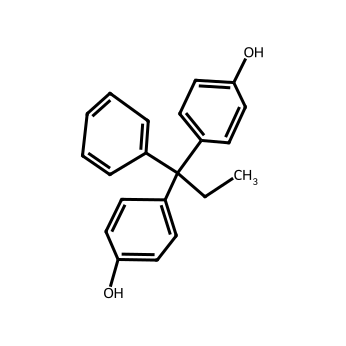 CCC(c1ccccc1)(c1ccc(O)cc1)c1ccc(O)cc1